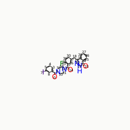 O=C(c1cccc(I)c1)N1CCN(C(=O)c2cc(Cc3n[nH]c(=O)c4ccccc34)ccc2F)CC1